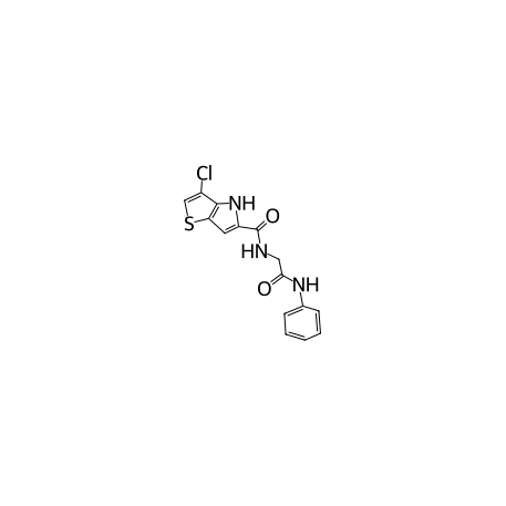 O=C(CNC(=O)c1cc2scc(Cl)c2[nH]1)Nc1ccccc1